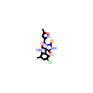 Cc1cc(CN2C(=O)NC(=O)[C@@]23C(=O)Nc2c(C)cc(Cl)cc23)no1